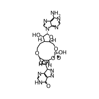 Nc1ncnc2c1ncn2[C@@H]1O[C@@H]2COP(=O)(O)O[C@H]3C(C4N=Nc5c4nc[nH]c5=O)OC(OCC[C@H]2[C@H]1O)[C@H]3O